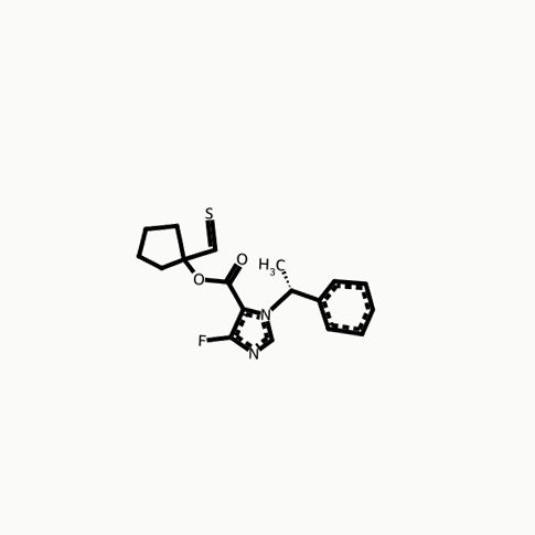 C[C@H](c1ccccc1)n1cnc(F)c1C(=O)OC1(C=S)CCCC1